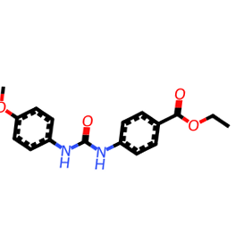 CCOC(=O)c1ccc(NC(=O)Nc2ccc(OC)cc2)cc1